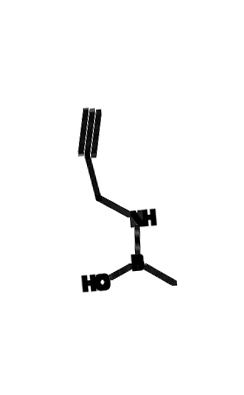 C#CCNB(C)O